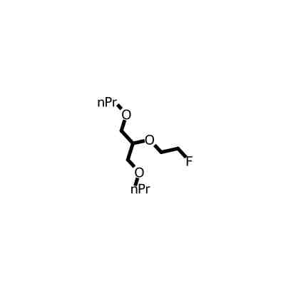 CCCOCC(COCCC)OCCF